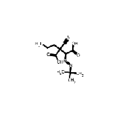 CCCC(C#N)(C(=O)O)C(N=NC(C)(C)C)C(=O)O